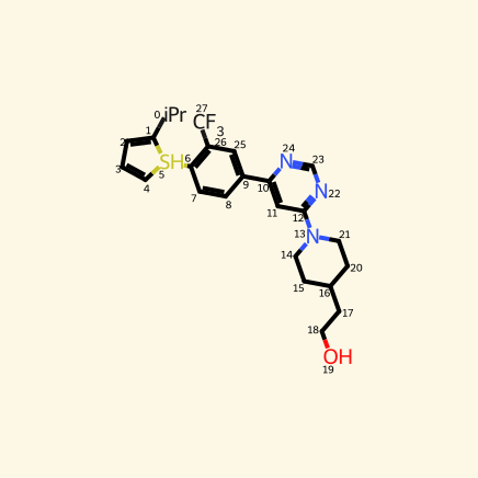 CC(C)C1=CC=C[SH]1c1ccc(-c2cc(N3CCC(CCO)CC3)ncn2)cc1C(F)(F)F